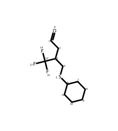 O=CCC(CSC1CCCCC1)C(F)(F)F